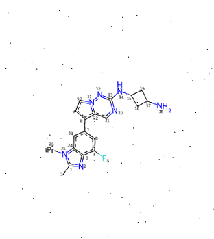 Cc1nc2c(F)cc(-c3ccn4nc(NC5CC(N)C5)ncc34)cc2n1C(C)C